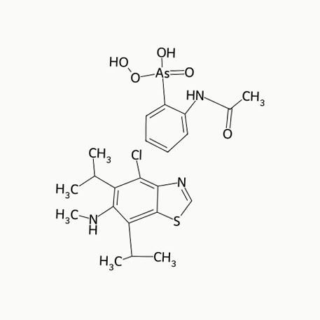 CC(=O)Nc1ccccc1[As](=O)(O)OO.CNc1c(C(C)C)c(Cl)c2ncsc2c1C(C)C